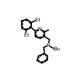 CCc1cccc(CC)c1-c1ccc(CN(Cc2ccccc2)C(C)CC)c(C)n1